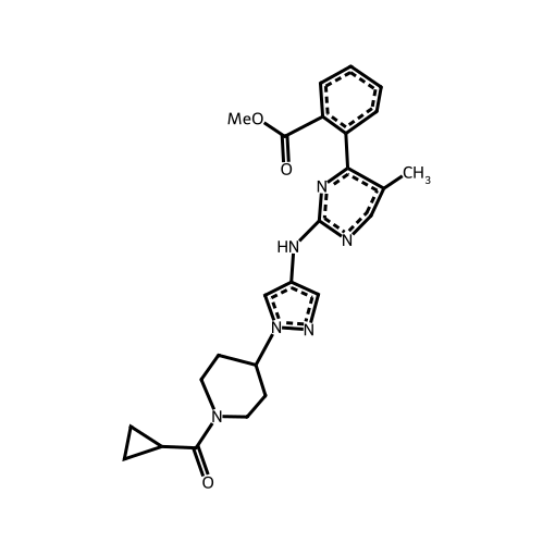 COC(=O)c1ccccc1-c1nc(Nc2cnn(C3CCN(C(=O)C4CC4)CC3)c2)ncc1C